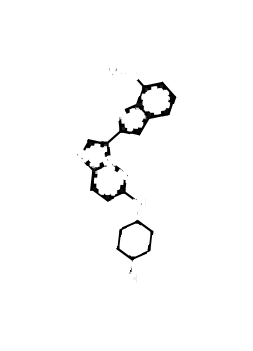 COc1cccc2cc(-c3cnc4ccc(N[C@H]5CC[C@H](O)CC5)nn34)sc12